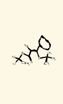 CC(C)(C)OC(=O)C(N)C(OC(C)(C)C)c1ccccc1